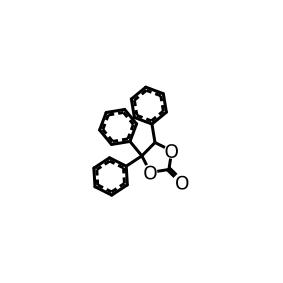 O=C1OC(c2ccccc2)C(c2ccccc2)(c2ccccc2)O1